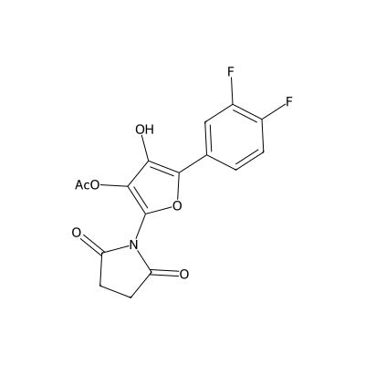 CC(=O)Oc1c(N2C(=O)CCC2=O)oc(-c2ccc(F)c(F)c2)c1O